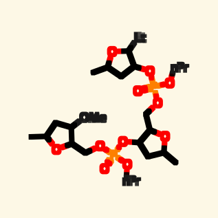 CCCOP(=O)(OCC1OC(C)CC1OP(=O)(OCCC)OCC1OC(C)CC1OC)OC1CC(C)OC1CC